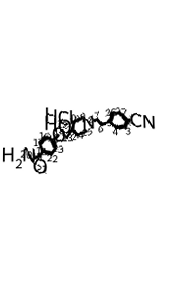 Cl.N#Cc1ccc(CCN2CCC(O)(COc3ccc(C(N)=O)cc3)CC2)cc1